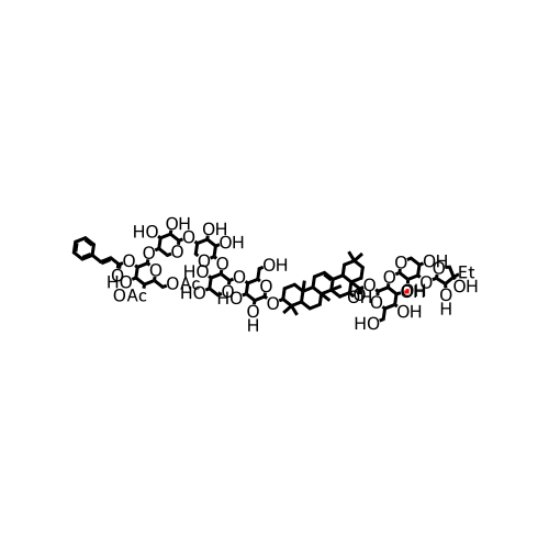 CCC1(O)COC(OC2C(O)COC(OC3C(OC(=O)C45CCC(C)(C)CC4C4=CCC6C7(C)CCC(OC8OC(CO)C(OC9OCC(O)C(O)C9OC9OCC(OC%10OCC(OC%11OC(COC(C)=O)C(OC(C)=O)C(O)C%11OC(=O)/C=C/c%11ccccc%11)C(O)C%10O)C(O)C9O)C(O)C8O)C(C)(C)C7CCC6(C)C4(C)CC5O)OC(CO)C(O)C3O)C2O)C1O